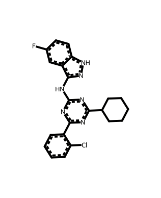 Fc1ccc2[nH]nc(Nc3nc(-c4ccccc4Cl)nc(C4CCCCC4)n3)c2c1